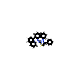 [C]1=C(c2ccccc2)N(c2ccccc2)C(Nc2ccccc2-c2cccc3ccccc23)S1